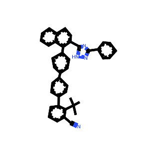 CC(C)(C)c1c(C#N)cccc1-c1ccc(-c2ccc(-c3c(-c4nc(-c5ccccc5)n[nH]4)ccc4ccccc34)cc2)cc1